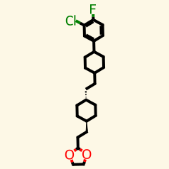 Fc1ccc(C2CCC(CC[C@H]3CC[C@H](CCC4OCCO4)CC3)CC2)cc1Cl